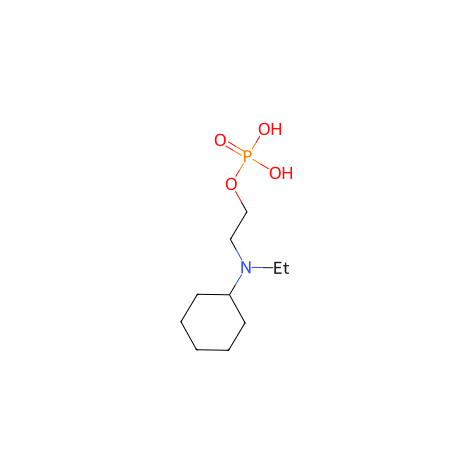 CCN(CCOP(=O)(O)O)C1CCCCC1